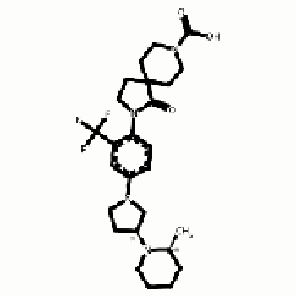 C[C@H]1CCCCN1[C@H]1CCN(c2ccc(N3CCC4(CCN(C(=O)O)CC4)C3=O)c(C(F)(F)F)c2)C1